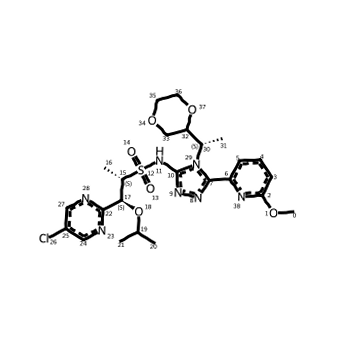 COc1cccc(-c2nnc(NS(=O)(=O)[C@@H](C)[C@@H](OC(C)C)c3ncc(Cl)cn3)n2[C@@H](C)C2COCCO2)n1